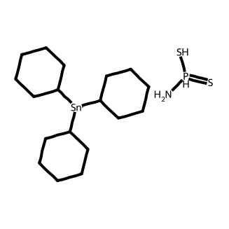 C1CC[CH]([Sn]([CH]2CCCCC2)[CH]2CCCCC2)CC1.N[PH](=S)S